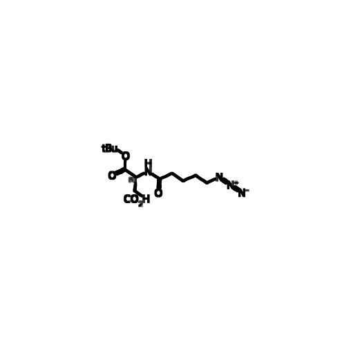 CC(C)(C)OC(=O)[C@H](CC(=O)O)NC(=O)CCCCN=[N+]=[N-]